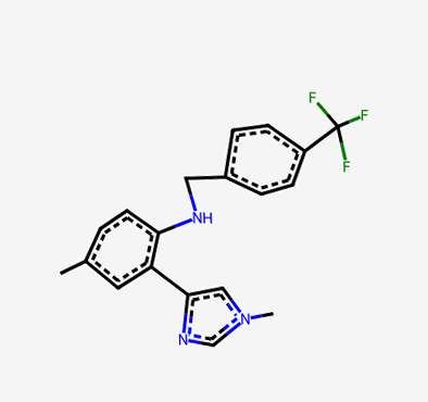 Cc1ccc(NCc2ccc(C(F)(F)F)cc2)c(-c2cn(C)cn2)c1